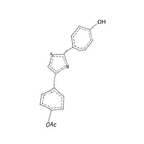 CC(=O)Oc1ccc(-c2csc(-c3ccc(O)cc3)n2)cc1